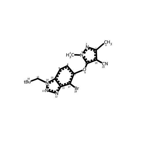 Cc1nn(C)c(Oc2ccc3c(nnn3CC(C)(C)C)c2Br)c1C#N